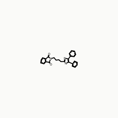 O=C1c2ccccc2C(=O)N1CCCCC1=NC(c2ccccc2)=C(c2ccccc2)[N]1